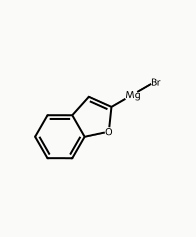 [Br][Mg][c]1cc2ccccc2o1